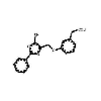 Cc1oc(-c2ccccc2)nc1COc1cccc(CC(=O)O)c1